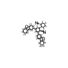 N#Cc1ccccc1-c1cc(-c2ccc3oc4ccccc4c3c2)cc(-c2ccc3c(c2)oc2ccccc23)c1C#N